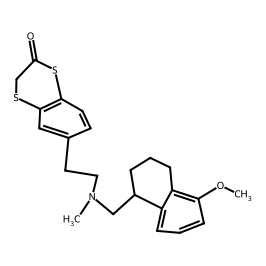 COc1cccc2c1CCCC2CN(C)CCc1ccc2c(c1)SCC(=O)S2